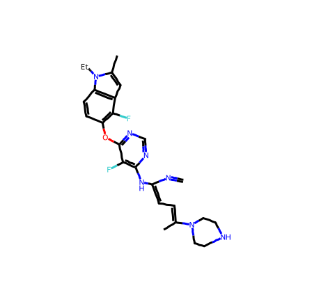 C=N/C(=C\C=C(/C)N1CCNCC1)Nc1ncnc(Oc2ccc3c(cc(C)n3CC)c2F)c1F